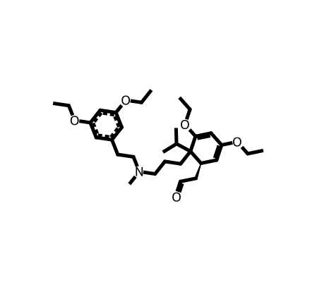 CCOC1=C[C@@H](CC=O)C(CCCN(C)CCc2cc(OCC)cc(OCC)c2)(C(C)C)C(OCC)=C1